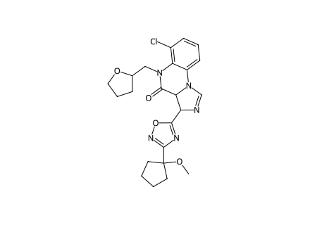 COC1(c2noc(C3N=CN4c5cccc(Cl)c5N(CC5CCCO5)C(=O)C34)n2)CCCC1